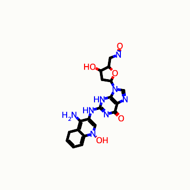 NC1=C2CC=CC=C2N(O)C=C1Nc1nc(=O)c2ncn(C3CC(O)C(CN=O)O3)c2[nH]1